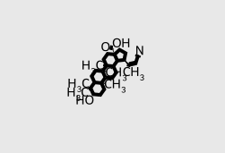 C/C(=C/C#N)[C@@H]1CC[C@]2(C(=O)O)CC[C@]3(C)C(CCC4[C@@]5(C)CC[C@H](O)C(C)(C)C5CC[C@]43C)C12